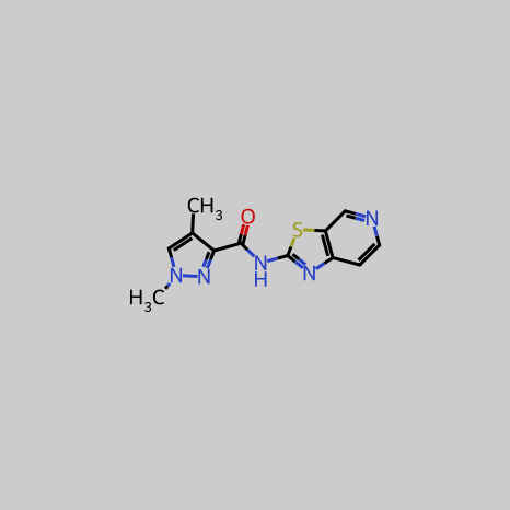 Cc1cn(C)nc1C(=O)Nc1nc2ccncc2s1